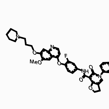 COc1cc2c(Oc3ccc(NC(=O)c4c5c(cn(-c6ccc(F)cc6)c4=O)CCO5)cc3F)ccnc2cc1OCCCN1CCCCC1